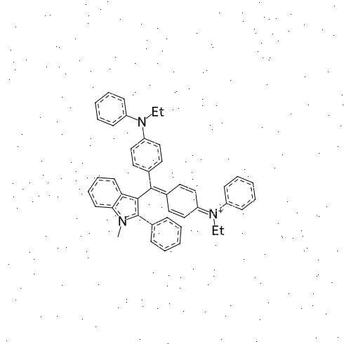 CCN(c1ccccc1)c1ccc(C(=C2C=CC(=[N+](CC)c3ccccc3)C=C2)c2c(-c3ccccc3)n(C)c3ccccc23)cc1